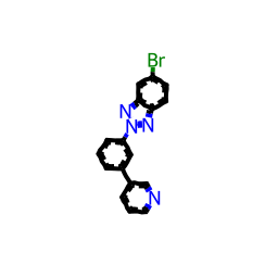 Brc1ccc2nn(-c3cccc(-c4cccnc4)c3)nc2c1